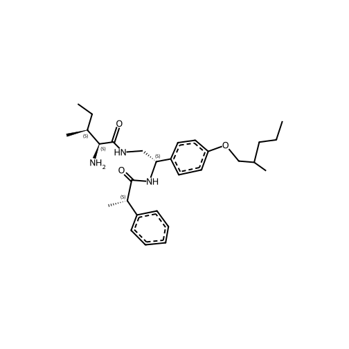 CCCC(C)COc1ccc([C@@H](CNC(=O)[C@@H](N)[C@@H](C)CC)NC(=O)[C@@H](C)c2ccccc2)cc1